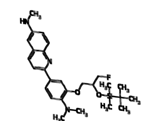 CNc1ccc2nc(-c3ccc(N(C)C)c(OCC(CF)O[Si](C)(C)C(C)(C)C)c3)ccc2c1